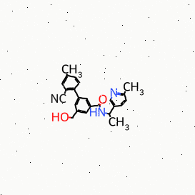 Cc1ccc(-c2cc(CO)cc(C(=O)NC(C)c3ccc(C)nc3)c2)c(C#N)c1